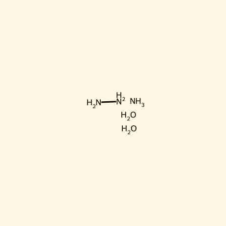 N.NN.O.O